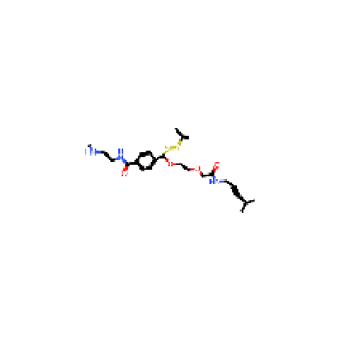 CNCCNC(=O)c1ccc(C(OCCOCC(=O)NCC#CC(C)C)SSC(C)C)cc1